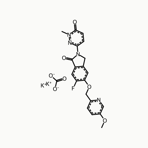 COc1ccc(COc2cc3c(cc2F)C(=O)N(c2ccc(=O)n(C)n2)C3)nc1.O=C([O-])[O-].[K+].[K+]